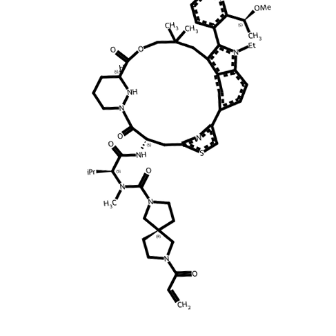 C=CC(=O)N1CC[C@@]2(CCN(C(=O)N(C)[C@H](C(=O)N[C@H]3Cc4nc(cs4)-c4ccc5c(c4)c(c(-c4cccnc4[C@H](C)OC)n5CC)CC(C)(C)COC(=O)[C@@H]4CCCN(N4)C3=O)C(C)C)C2)C1